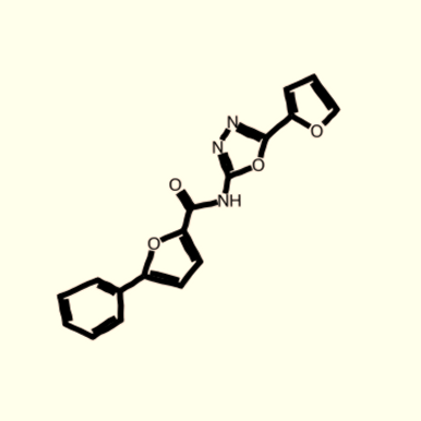 O=C(Nc1nnc(-c2ccco2)o1)c1ccc(-c2ccccc2)o1